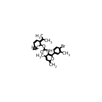 C=C1C=C(C)C(NC(=O)OC(C)C(/C=C\C2CC2)=C(C)C)=C(c2ccc(Br)c(C)c2)O1